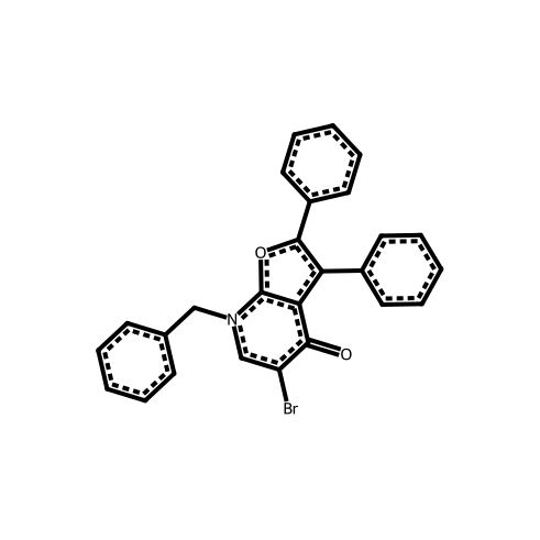 O=c1c(Br)cn(Cc2ccccc2)c2oc(-c3ccccc3)c(-c3ccccc3)c12